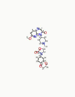 COc1ccc2ncc(=O)n(C3CCN(C[C@@H]4CN(c5ccc6c(c5)OCCO6)C(=O)O4)CC3)c2n1